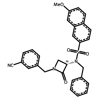 COc1ccc2ccc(S(=O)(=O)N(Cc3ccccc3)[C@H]3CN(Cc4cccc(C#N)c4)C3=O)cc2c1